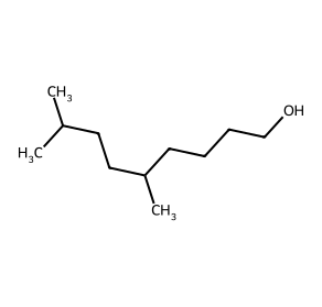 CC(C)CCC(C)CCCCO